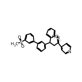 CS(=O)(=O)c1cccc(-c2cccc(C(C/C(=N\O)c3ccncc3)c3ccccc3)c2)c1